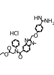 CCOC(=O)CN(C(=O)c1ccc2c(c1)nc(COc1ccc(C(=N)N)cc1)n2C)c1ccccc1.Cl